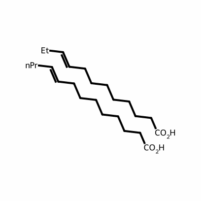 CCC=CCCCCCCCC(=O)O.CCCC=CCCCCCCCC(=O)O